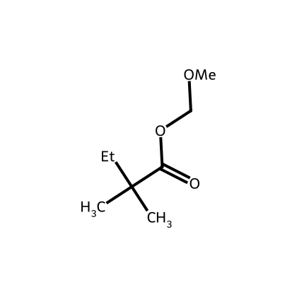 CCC(C)(C)C(=O)OCOC